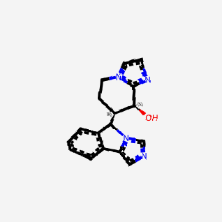 O[C@@H]1c2nccn2CC[C@@H]1C1c2ccccc2-c2cncn21